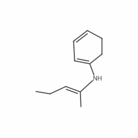 CCC=C(C)NC1=CC=CCC1